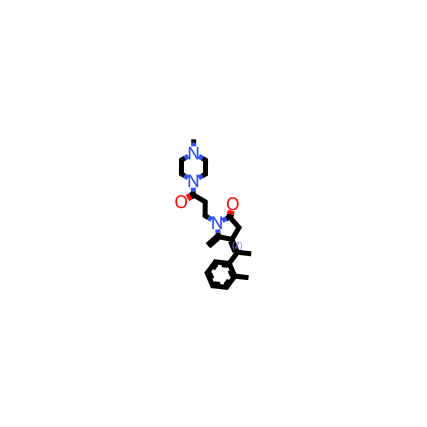 C=C1/C(=C(/C)c2ccccc2C)CC(=O)N1CCC(=O)N1CCN(C)CC1